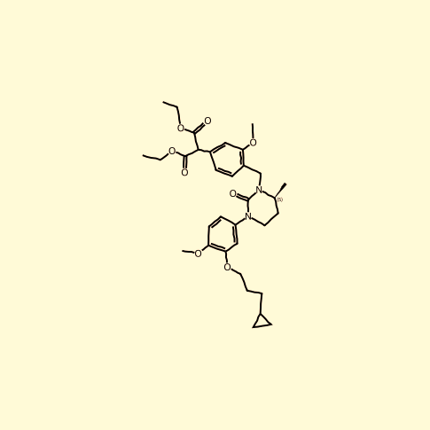 CCOC(=O)C(C(=O)OCC)c1ccc(CN2C(=O)N(c3ccc(OC)c(OCCCC4CC4)c3)CC[C@@H]2C)c(OC)c1